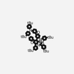 CC(C)(C)c1ccc(Nc2cc3oc4ccc(N(c5ccc(C(C)(C)C)cc5)c5ccc(C(C)(C)C)cc5)cc4c3cc2-c2c3c4c(c5cc(C(C)(C)C)ccc5n4-c4c(sc5ccc(C(C)(C)C)cc45)B3)c3oc4ccccc4c23)cc1